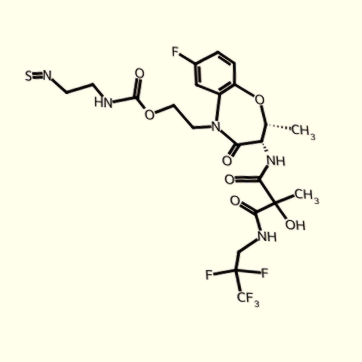 C[C@H]1Oc2ccc(F)cc2N(CCOC(=O)NCCN=S)C(=O)[C@H]1NC(=O)C(C)(O)C(=O)NCC(F)(F)C(F)(F)F